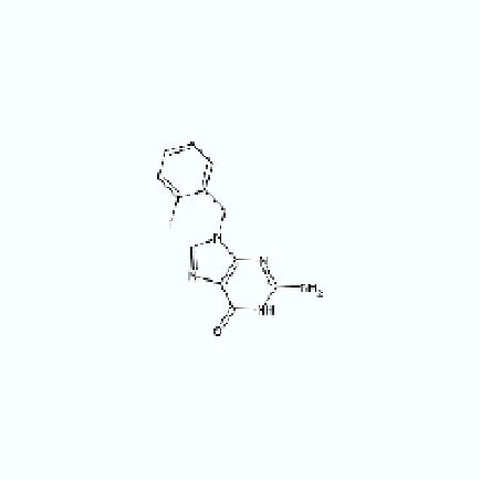 Nc1nc2c(ncn2Cc2ccccc2F)c(=O)[nH]1